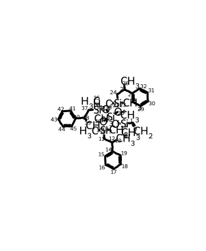 C=C[Si](C)(C)O[Si](O[Si](C)(C)CC(C)c1ccccc1)(O[Si](C)(C)CC(C)c1ccccc1)O[Si](C)(C)CC(C)c1ccccc1